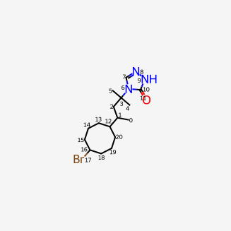 CC(CC(C)(C)n1cn[nH]c1=O)C1CCCC(Br)CCC1